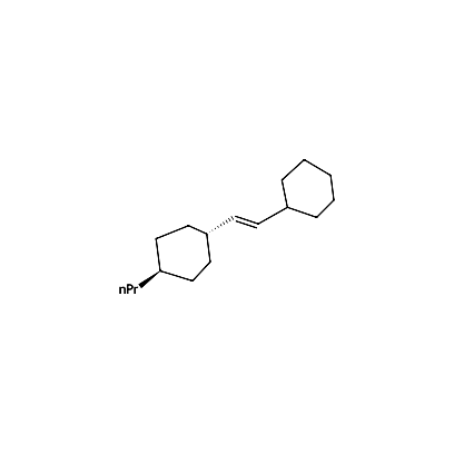 CCC[C@H]1CC[C@H](/C=C/C2CCCCC2)CC1